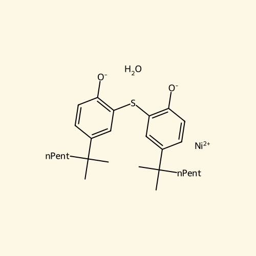 CCCCCC(C)(C)c1ccc([O-])c(Sc2cc(C(C)(C)CCCCC)ccc2[O-])c1.O.[Ni+2]